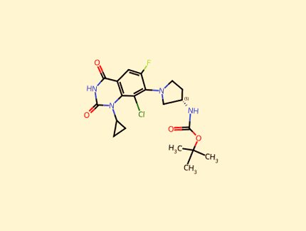 CC(C)(C)OC(=O)N[C@H]1CCN(c2c(F)cc3c(=O)[nH]c(=O)n(C4CC4)c3c2Cl)C1